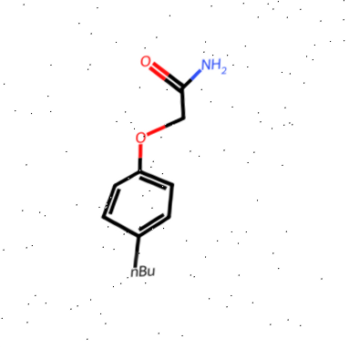 [CH2]CCCc1ccc(OCC(N)=O)cc1